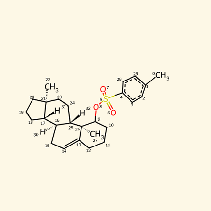 Cc1ccc(S(=O)(=O)OC2CCCC3=CC[C@H]4[C@@H]5CCC[C@@]5(C)CC[C@@H]4[C@]32C)cc1